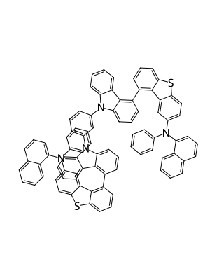 c1ccc(N(c2ccc3sc4cccc(-c5cccc6c5c5ccccc5n6-c5cccc(-n6c7ccccc7c7c(-c8cccc9sc%10ccc(N(c%11ccccc%11)c%11cccc%12ccccc%11%12)cc%10c89)cccc76)c5)c4c3c2)c2cccc3ccccc23)cc1